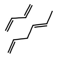 C=CC/C=C/C.C=CC=C